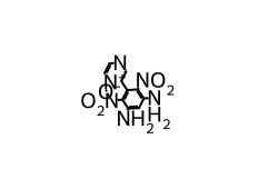 Nc1cc(N)c([N+](=O)[O-])c(-c2cncc[n+]2[O-])c1[N+](=O)[O-]